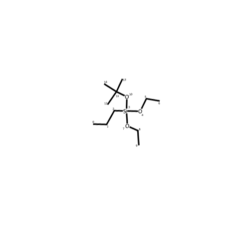 CCC[Si](OCC)(OCC)OC(C)(C)C